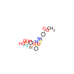 COC(=O)c1ccc(-c2csc(N(Cc3ccc(C(F)(F)P(=O)(O)O)c(Br)c3)S(=O)(=O)c3ccccc3)n2)cc1